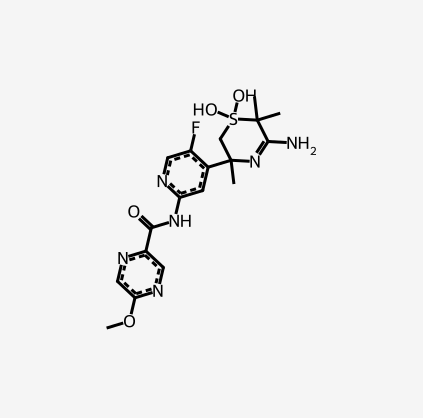 COc1cnc(C(=O)Nc2cc(C3(C)CS(O)(O)C(C)(C)C(N)=N3)c(F)cn2)cn1